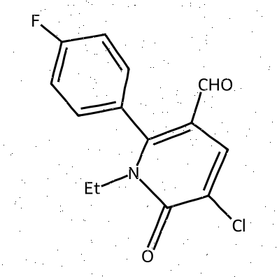 CCn1c(-c2ccc(F)cc2)c(C=O)cc(Cl)c1=O